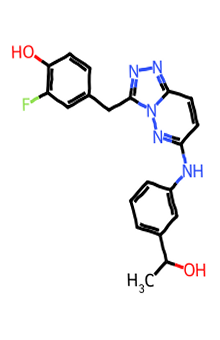 CC(O)c1cccc(Nc2ccc3nnc(Cc4ccc(O)c(F)c4)n3n2)c1